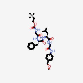 COCc1ccc(NC(=O)CNC(=O)[C@H](CC(C)C)NC(=O)[C@H](Cc2ccccc2)NC(=O)CNC(=O)OCC[Si](C)(C)C)cc1